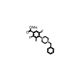 COC(=O)c1cc(F)c(N2CCN(Cc3ccccc3)CC2)c(C)c1F